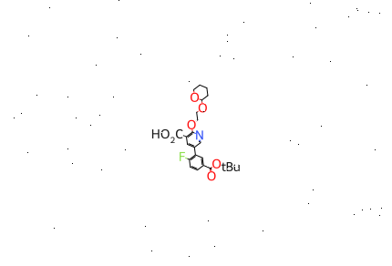 CC(C)(C)OC(=O)c1ccc(F)c(-c2cnc(OCCOC3CCCCO3)c(C(=O)O)c2)c1